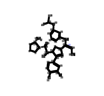 CCN(C(=O)[C@@H]1CCC[C@@H]1N)C1CN(/C(=N\C#N)Nc2cccc(OC(F)F)c2)N=C1c1ccc(Cl)c(Cl)c1